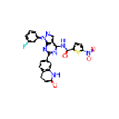 O=C1CCc2ccc(-c3nc(NC(=O)c4ccc([N+](=O)[O-])s4)c4cnn(-c5cccc(F)c5)c4n3)cc2N1